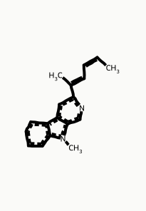 C/C=C\C=C(/C)c1cc2c3ccccc3n(C)c2cn1